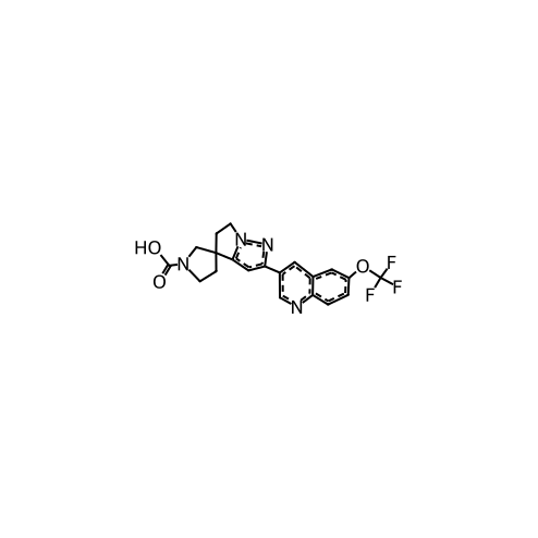 O=C(O)N1CCC2(CCn3nc(-c4cnc5ccc(OC(F)(F)F)cc5c4)cc32)C1